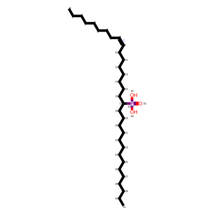 CCCCCCCC/C=C\CCCCCCCC(CCCCCCCCCCCCCC)P(=O)(O)O